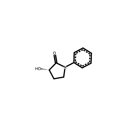 O=C1[C@@H](O)CCN1c1ccccc1